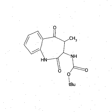 CC1C(=O)c2ccccc2NC(=O)C1NC(=O)OC(C)(C)C